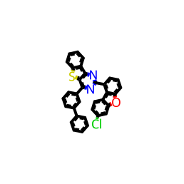 Clc1ccc2c(c1)oc1cccc(-c3nc(-c4cccc(-c5ccccc5)c4)c4sc5ccccc5c4n3)c12